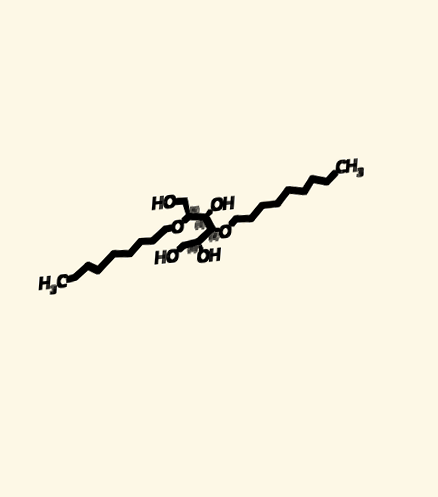 CCCCCCCCCO[C@@H]([C@H](O)[C@H](CO)OCCCCCCCCC)[C@H](O)CO